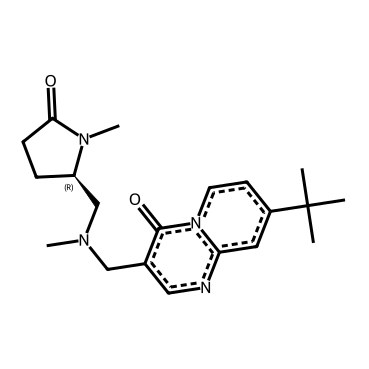 CN(Cc1cnc2cc(C(C)(C)C)ccn2c1=O)C[C@H]1CCC(=O)N1C